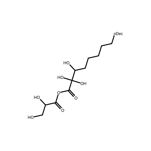 CCCCCCCCCCCCCCCC(O)C(O)(O)C(=O)OC(=O)C(O)CO